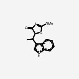 CNC1=NC(=O)C(C(C)c2c[nH]c3ccccc23)O1